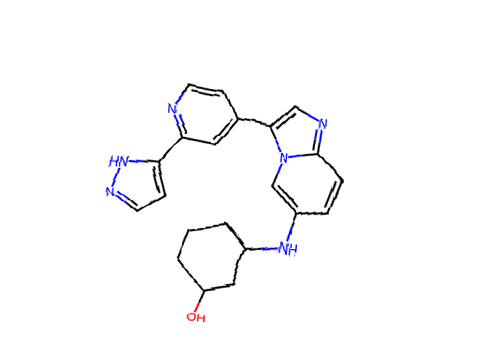 OC1CCCC(Nc2ccc3ncc(-c4ccnc(-c5ccn[nH]5)c4)n3c2)C1